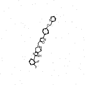 Fc1cccc(-c2nc3c([nH]2)C=NN(Cc2cc(-c4ccc(OCc5ccccn5)cc4)no2)C3)c1F